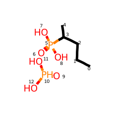 CCCC(C)P(=O)(O)O.O=[PH](O)O